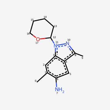 Cc1cc2c(cc1N)c(C)nn2C1CCCCO1